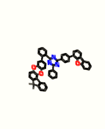 CC1(C)c2ccccc2-c2c1ccc1c2Oc2ccc(-c3ccccc3-c3nc(-c4ccccc4)nc(-c4ccc(-c5cccc6c5oc5ccccc56)cc4)n3)cc2O1